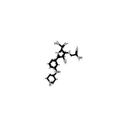 O=C(O)COc1c(C(=O)O)sc(-c2cccc(NC3CCNCC3)c2)c1Cl